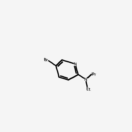 CCN(c1ccc(Br)cn1)C(C)C